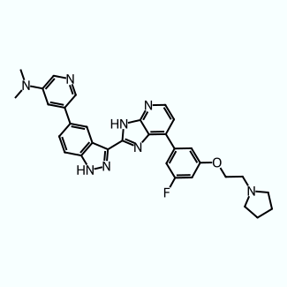 CN(C)c1cncc(-c2ccc3[nH]nc(-c4nc5c(-c6cc(F)cc(OCCN7CCCC7)c6)ccnc5[nH]4)c3c2)c1